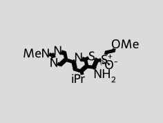 CNc1ncc(-c2cc(C(C)C)c3c(N)c([S@+]([O-])CCOC)sc3n2)cn1